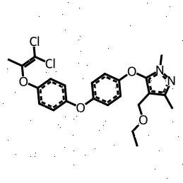 CCOCc1c(C)nn(C)c1Oc1ccc(Oc2ccc(OC(C)=C(Cl)Cl)cc2)cc1